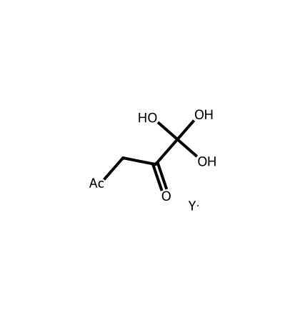 CC(=O)CC(=O)C(O)(O)O.[Y]